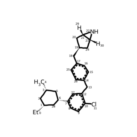 CC[C@@H]1C[C@H](C)C[C@H](c2ccc(Cl)c(Cc3ccc(C[C@H]4C[C@@H]5N[C@@H]5C4)cc3)c2)C1